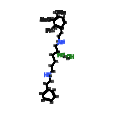 COc1ccc(CCNCCCCCCNCCc2ccccc2)c(C(C)C)c1OC.Cl.Cl